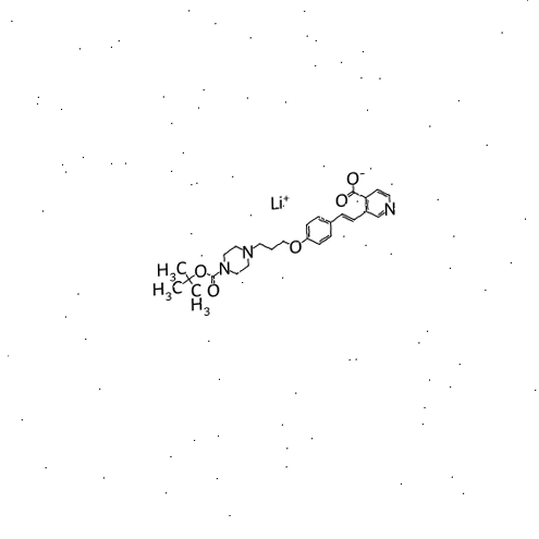 CC(C)(C)OC(=O)N1CCN(CCCOc2ccc(/C=C/c3cnccc3C(=O)[O-])cc2)CC1.[Li+]